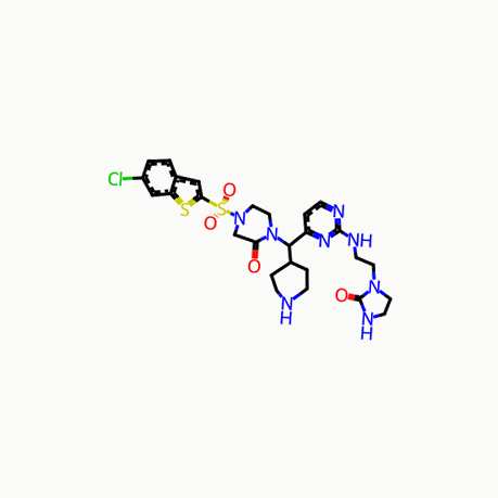 O=C1NCCN1CCNc1nccc(C(C2CCNCC2)N2CCN(S(=O)(=O)c3cc4ccc(Cl)cc4s3)CC2=O)n1